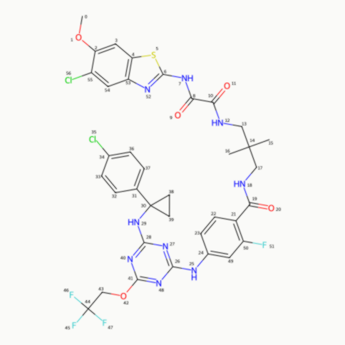 COc1cc2sc(NC(=O)C(=O)NCC(C)(C)CNC(=O)c3ccc(Nc4nc(NC5(c6ccc(Cl)cc6)CC5)nc(OCC(F)(F)F)n4)cc3F)nc2cc1Cl